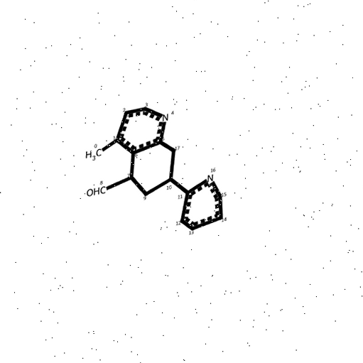 Cc1ccnc2c1C(C=O)CC(c1ccccn1)C2